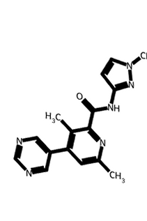 Cc1cc(-c2cncnc2)c(C)c(C(=O)Nc2ccn(C)n2)n1